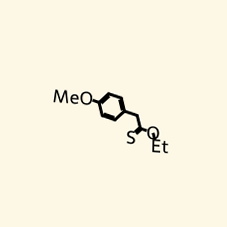 CCOC(=S)Cc1ccc(OC)cc1